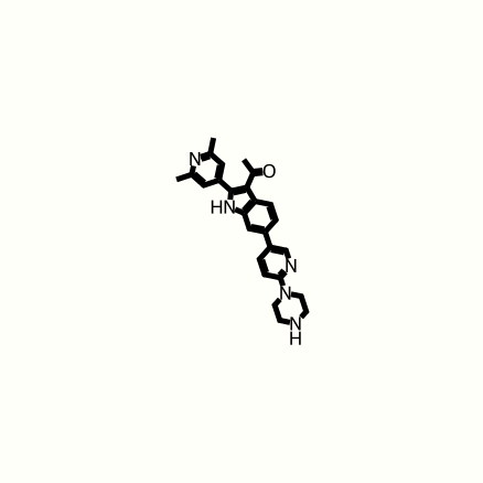 CC(=O)c1c(-c2cc(C)nc(C)c2)[nH]c2cc(-c3ccc(N4CCNCC4)nc3)ccc12